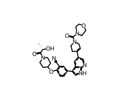 C[C@H](O)C(=O)N1CCC(Oc2ccc(-c3c[nH]c4ncc(C5=CCN(C(=O)N6CCOCC6)CC5)cc34)cc2C#N)CC1